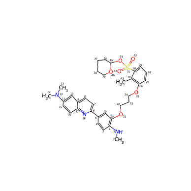 CNc1ccc(-c2ccc3cc(N(C)C)ccc3n2)cc1OCCCOc1cccc(S(=O)(=O)OC2CCCCO2)c1C